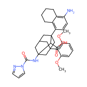 COc1cccc(OC)c1C12CC3CC(NC(=O)n4cccn4)(C1)C(C(=O)O)C(c1ccc(N)c4c1CCCC4)(C3)C2